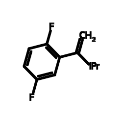 C=C(c1cc(F)ccc1F)C(C)C